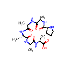 C[C@H](NC(=O)[C@H](C)NC(=O)[C@H](C)NC(=O)[C@H](C)NC(=O)[C@H](C)NC(=O)[C@@H]1CCCN1)C(=O)O